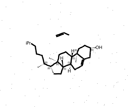 C=CC.CC(C)CCC[C@@H](C)[C@H]1CC[C@H]2[C@@H]3CC=C4C[C@@H](O)CC[C@]4(C)[C@H]3CC[C@]12C